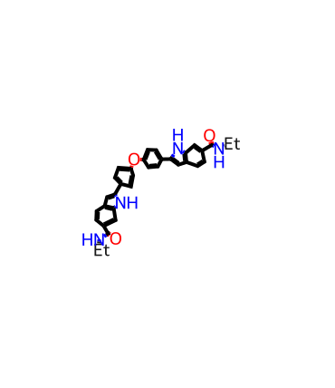 CCNC(=O)c1ccc2cc(-c3ccc(Oc4ccc(-c5cc6ccc(C(=O)NCC)cc6[nH]5)cc4)cc3)[nH]c2c1